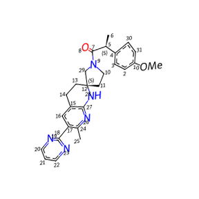 COc1ccc([C@H](C)C(=O)N2CC[C@@]3(CCc4cc(-c5ncccn5)c(C)nc4N3)C2)cc1